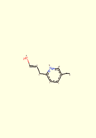 Cc1ccc(CC=CO)nc1